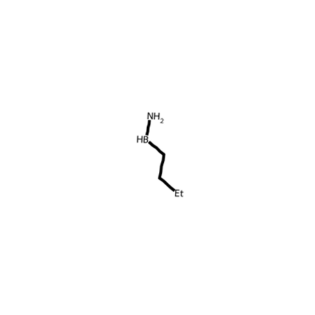 CCCCBN